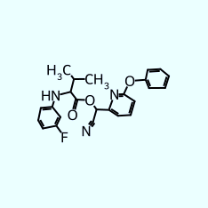 CC(C)C(Nc1cccc(F)c1)C(=O)OC(C#N)c1cccc(Oc2ccccc2)n1